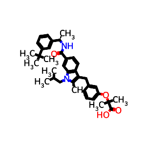 Cc1c(Cc2cccc(OC(C)(C)C(=O)O)c2)c2ccc(C(=O)N[C@@H](C)c3cccc(C(C)(C)C)c3)cc2n1CC(C)C